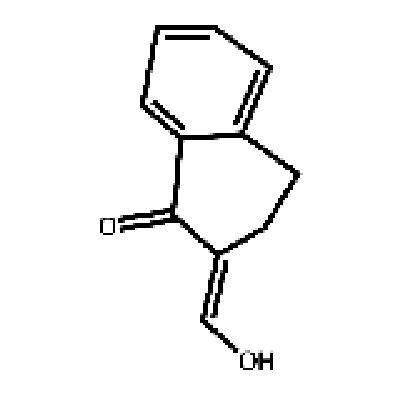 O=C1/C(=C/O)CCc2ccccc21